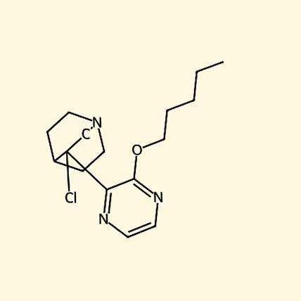 CCCCCOc1nccnc1C1(Cl)CN2CCC1CC2